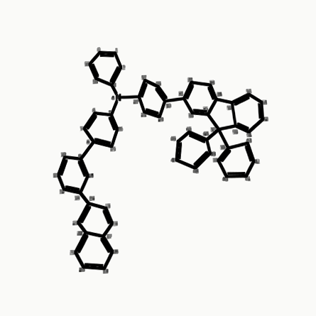 c1ccc(N(c2ccc(-c3cccc(-c4ccc5ccccc5c4)c3)cc2)c2ccc(-c3ccc4c(c3)C(c3ccccc3)(c3ccccc3)c3ccccc3-4)cc2)cc1